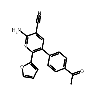 CC(=O)c1ccc(-c2cc(C#N)c(N)nc2-c2ccco2)cc1